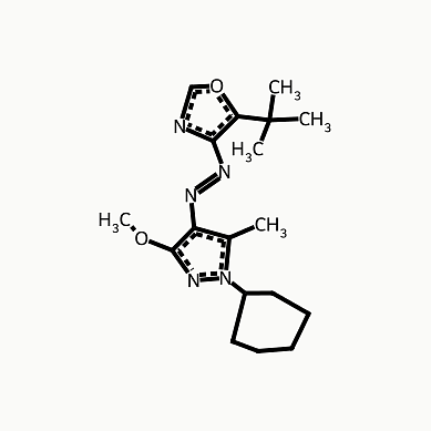 COc1nn(C2CCCCC2)c(C)c1N=Nc1ncoc1C(C)(C)C